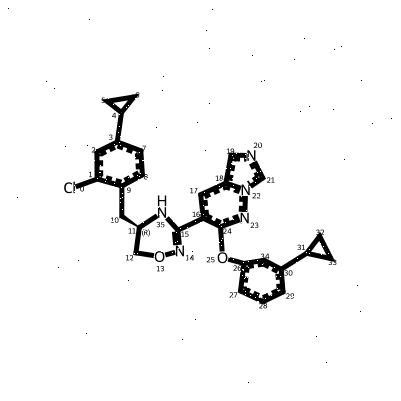 Clc1cc(C2CC2)ccc1C[C@@H]1CON=C(c2cc3cncn3nc2Oc2cccc(C3CC3)c2)N1